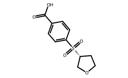 O=C(O)c1ccc(S(=O)(=O)[C@@H]2CCOC2)cc1